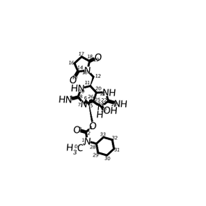 CN(C(=O)O[C@H]1CN2C(=N)N[C@@H](CN3C(=O)CCC3=O)C3NC(=N)NC32C1O)C1CCCCC1